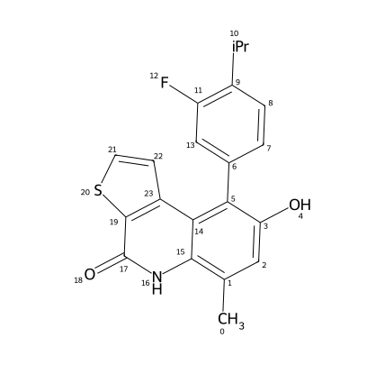 Cc1cc(O)c(-c2ccc(C(C)C)c(F)c2)c2c1[nH]c(=O)c1sccc12